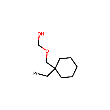 CC(C)CC1(COCO)CCCCC1